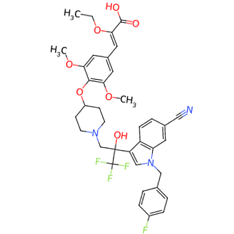 CCO/C(=C\c1cc(OC)c(OC2CCN(CC(O)(c3cn(Cc4ccc(F)cc4)c4cc(C#N)ccc34)C(F)(F)F)CC2)c(OC)c1)C(=O)O